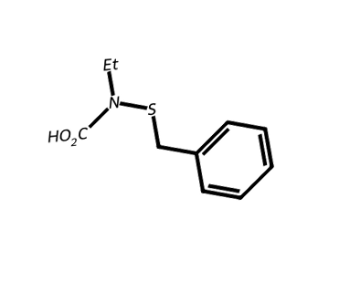 CCN(SCc1ccccc1)C(=O)O